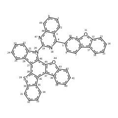 c1ccc2c(-c3ccc4c(c3)oc3ccccc34)nc(-n3c4ccccc4c4c5sc6ccccc6c5c5c6ccccc6oc5c43)nc2c1